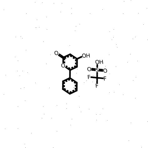 O=S(=O)(O)C(F)(F)F.O=c1cc(O)cc(-c2ccccc2)o1